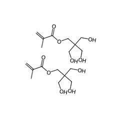 C=C(C)C(=O)OCC(CO)(CO)CO.C=C(C)C(=O)OCC(CO)(CO)CO